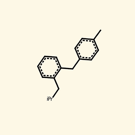 Cc1ccc(Cc2ccccc2CC(C)C)cc1